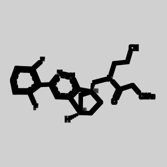 COCC(=O)N(CCC#N)C[C@]12CC[C@H](C1)c1cc(-c3c(F)cccc3F)nnc12